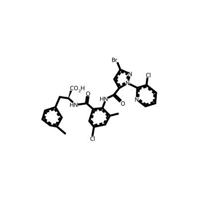 Cc1cccc(C[C@H](NC(=O)c2cc(Cl)cc(C)c2NC(=O)c2cc(Br)nn2-c2ncccc2Cl)C(=O)O)c1